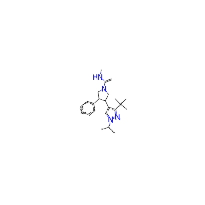 C=C(NC)N1CC(c2ccccc2)C(c2cn(C(C)C)nc2C(C)(C)C)C1